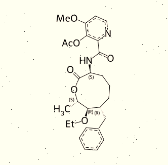 CCO[C@@H]1[C@@H](Cc2ccccc2)CCC[C@H](NC(=O)c2nccc(OC)c2OC(C)=O)C(=O)O[C@H]1C